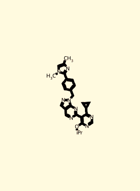 Cc1cn(C)c(-c2ccc(Cn3ncc4cnc(-c5c(OC(C)C)ncnc5C5CC5)nc43)cc2)n1